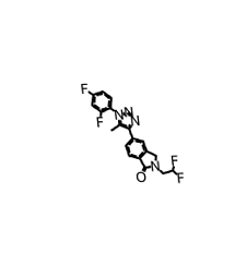 Cc1c(-c2ccc3c(c2)CN(CC(F)F)C3=O)nnn1-c1ccc(F)cc1F